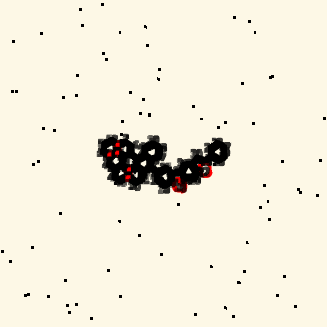 Cc1cccc(-c2c3ccccc3c(-c3ccc4oc5cc6oc(-c7ccccc7)cc6cc5c4c3)c3ccccc23)c1-c1ccccc1Cc1ccccc1